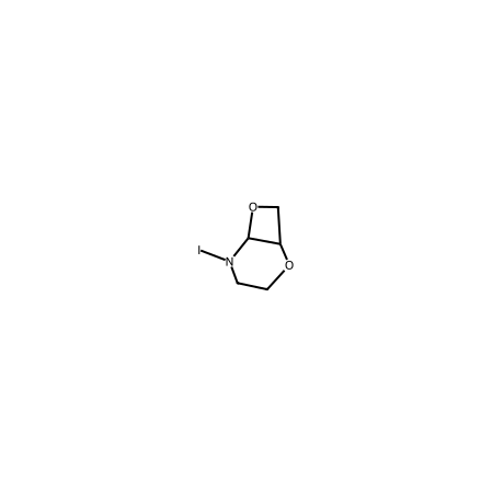 IN1CCOC2COC21